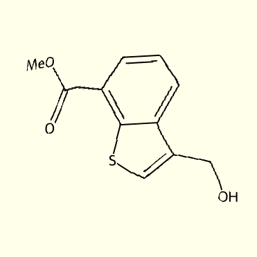 COC(=O)c1cccc2c(CO)csc12